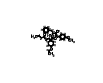 CCCC(=O)SCC1(C(=O)N[C@@H](Cc2ccccc2)C(=O)Nc2ccc(OC)cc2)CCC(OCC)CC1